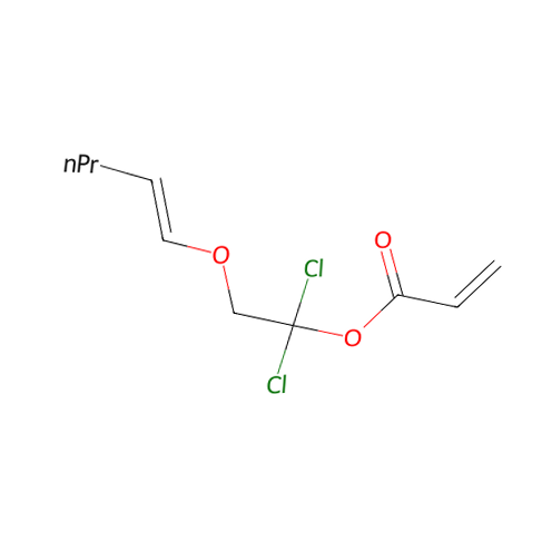 C=CC(=O)OC(Cl)(Cl)CO/C=C/CCC